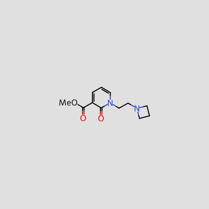 COC(=O)c1cccn(CCN2CCC2)c1=O